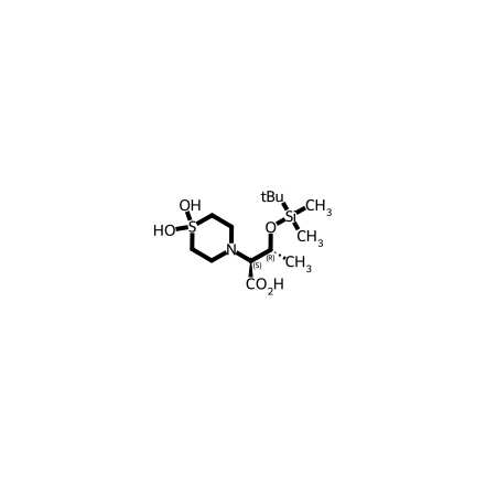 C[C@@H](O[Si](C)(C)C(C)(C)C)[C@@H](C(=O)O)N1CCS(O)(O)CC1